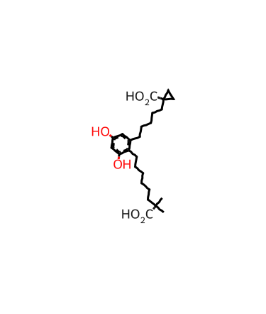 CC(C)(CCCCCCc1c(O)cc(O)cc1CCCCCC1(C(=O)O)CC1)C(=O)O